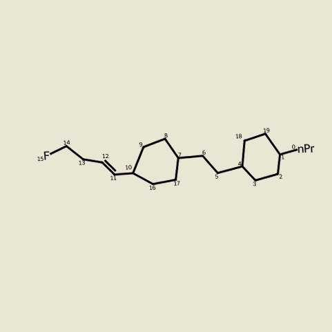 CCCC1CCC(CCC2CCC(C=CCCF)CC2)CC1